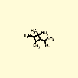 CCC(C)C(C)C1C(N)C(N)C1(C)N